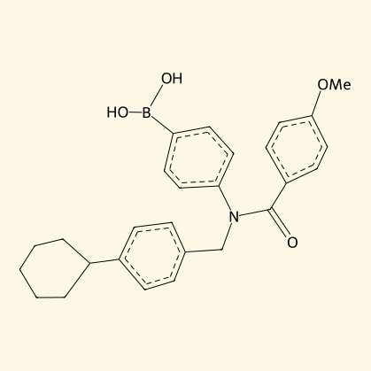 COc1ccc(C(=O)N(Cc2ccc(C3CCCCC3)cc2)c2ccc(B(O)O)cc2)cc1